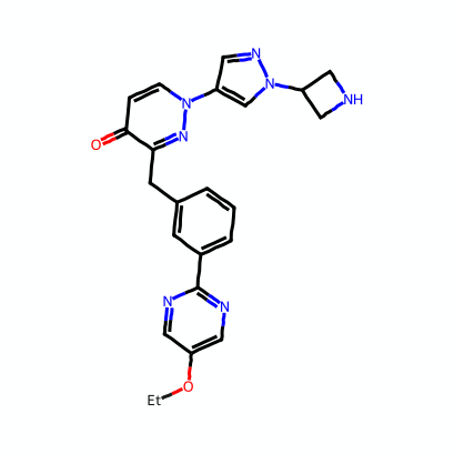 CCOc1cnc(-c2cccc(Cc3nn(-c4cnn(C5CNC5)c4)ccc3=O)c2)nc1